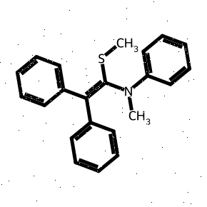 CSC(=C(c1ccccc1)c1ccccc1)N(C)c1ccccc1